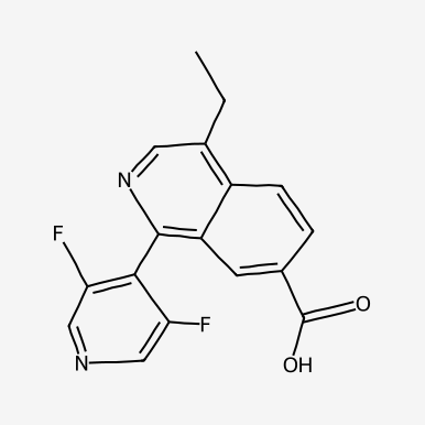 CCc1cnc(-c2c(F)cncc2F)c2cc(C(=O)O)ccc12